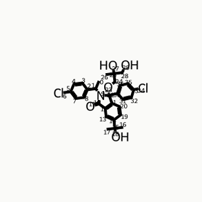 CC(c1ccc(Cl)cc1)N1C(=O)c2cc(C(C)(C)O)ccc2[C@]1(OCC(C)(O)CO)c1ccc(Cl)cc1